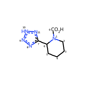 O=C(O)N1CCCCC1c1nn[nH]n1